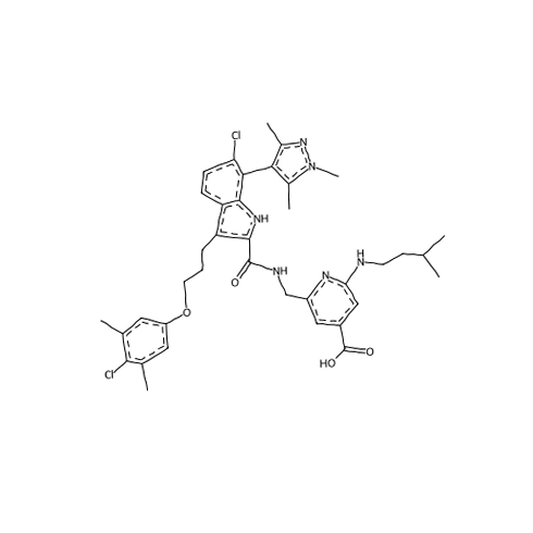 Cc1cc(OCCCc2c(C(=O)NCc3cc(C(=O)O)cc(NCCC(C)C)n3)[nH]c3c(-c4c(C)nn(C)c4C)c(Cl)ccc23)cc(C)c1Cl